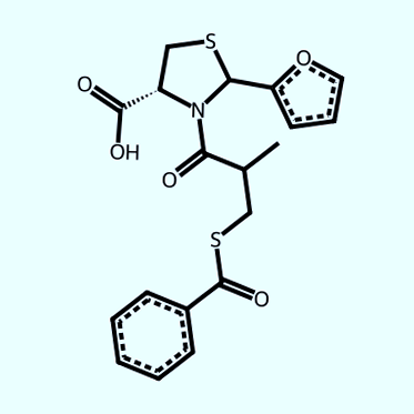 CC(CSC(=O)c1ccccc1)C(=O)N1C(c2ccco2)SC[C@H]1C(=O)O